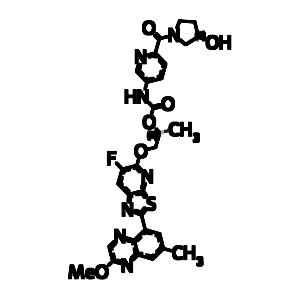 COc1cnc2c(-c3nc4cc(F)c(OC[C@@H](C)OC(=O)Nc5ccc(C(=O)N6CC[C@@H](O)C6)nc5)nc4s3)cc(C)cc2n1